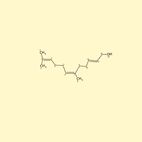 CC(C)=CCCC=C(C)CCC=CCO